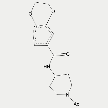 CC(=O)N1CCC(NC(=O)c2ccc3c(c2)OCCO3)CC1